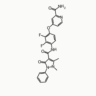 Cc1c(C(=O)Nc2ccc(Oc3ccnc(C(N)=O)c3)c(F)c2F)c(=O)n(-c2ccccc2)n1C